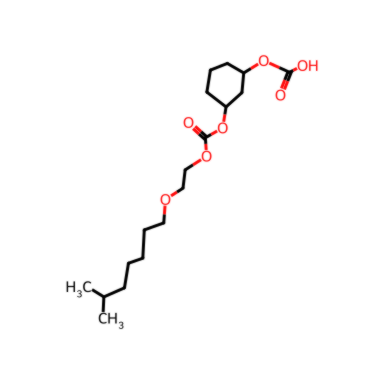 CC(C)CCCCCOCCOC(=O)OC1CCCC(OC(=O)O)C1